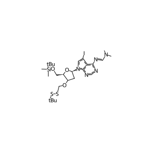 CN(C)/C=N/c1ncnc2c1c(I)cn2[C@H]1CC(OCSSC(C)(C)C)[C@@H](CO[Si](C)(C)C(C)(C)C)O1